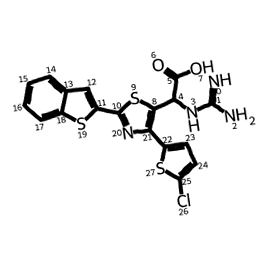 N=C(N)NC(C(=O)O)c1sc(-c2cc3ccccc3s2)nc1-c1ccc(Cl)s1